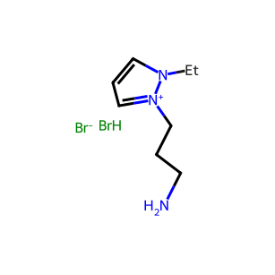 Br.CCn1ccc[n+]1CCCN.[Br-]